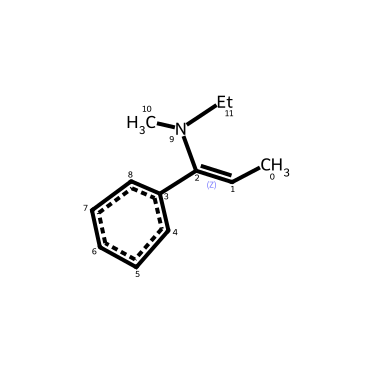 C/C=C(/c1ccccc1)N(C)CC